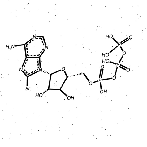 Nc1ncnc2c1nc(Br)n2[C@@H]1O[C@H](COP(=O)(O)OP(=O)(O)OP(=O)(O)O)C(O)C1O